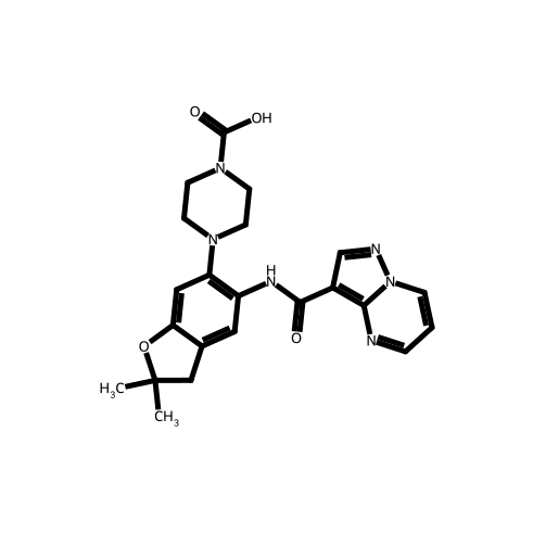 CC1(C)Cc2cc(NC(=O)c3cnn4cccnc34)c(N3CCN(C(=O)O)CC3)cc2O1